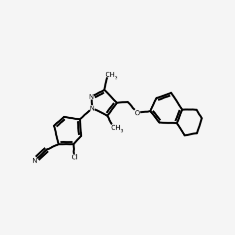 Cc1nn(-c2ccc(C#N)c(Cl)c2)c(C)c1COc1ccc2c(c1)CCCC2